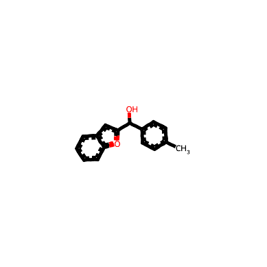 Cc1ccc(C(O)c2cc3ccccc3o2)cc1